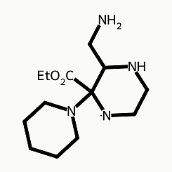 CCOC(=O)C1(N2CCCCC2)[N]CCNC1CN